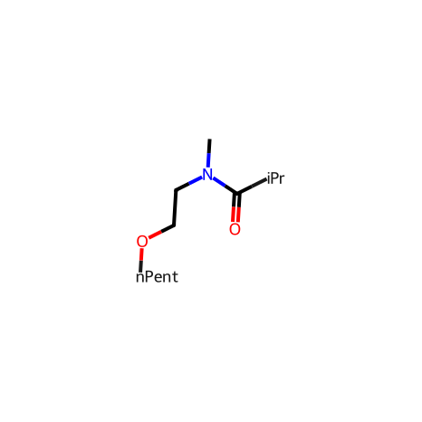 CCCCCOCCN(C)C(=O)C(C)C